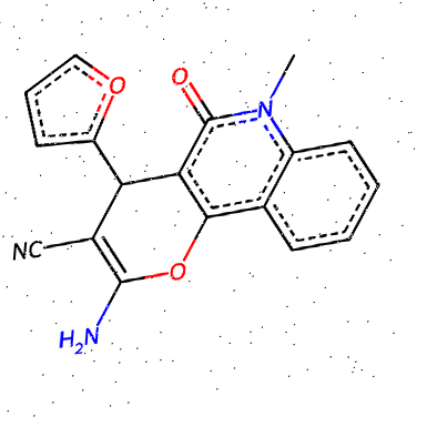 Cn1c(=O)c2c(c3ccccc31)OC(N)=C(C#N)C2c1ccco1